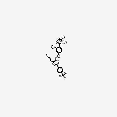 CCCCc1nc(-c2ccc(C(F)(F)F)cc2)sc1COc1ccc(-c2noc(=O)[nH]2)c(Cl)c1